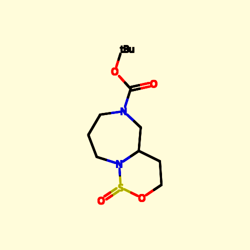 CC(C)(C)OC(=O)N1CCCN2C(CCOS2=O)C1